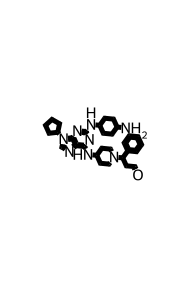 NC1CCC(Nc2nc(NC3CCN(C(CC=O)c4ccccc4)CC3)c3ncn(C4CCCC4)c3n2)CC1